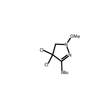 CCCCC1=NN(OC)CC1(Cl)Cl